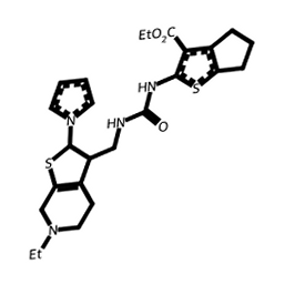 CCOC(=O)c1c(NC(=O)NCC2C3=C(CN(CC)CC3)SC2n2cccc2)sc2c1CCC2